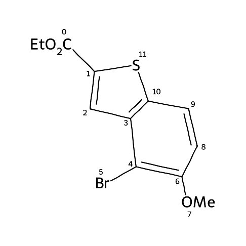 CCOC(=O)c1cc2c(Br)c(OC)ccc2s1